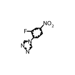 O=[N+]([O-])c1ccc(-n2cnnc2)c(F)c1